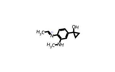 C/C=N/c1ccc(C2(O)CC2)cc1NC